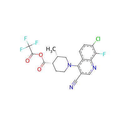 C[C@@H]1CN(c2c(C#N)cnc3c(F)c(Cl)ccc23)CC[C@@H]1C(=O)OC(=O)C(F)(F)F